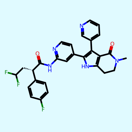 CN1CCc2[nH]c(-c3ccnc(NC(=O)[C@@H](CC(F)F)c4ccc(F)cc4)c3)c(-c3cccnc3)c2C1=O